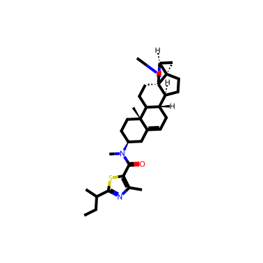 CCC(C)c1nc(C)c(C(=O)N(C)[C@H]2CC[C@@]3(C)C(=CC[C@@H]4C3CC[C@]35CN(C)[C@H]6C[C@@]63CC[C@@H]45)C2)s1